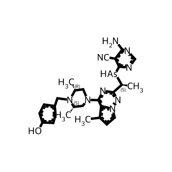 Cc1ccn2nc([C@H](C)[AsH]c3ncnc(N)c3C#N)nc(N3C[C@@H](C)N(Cc4ccc(O)cc4)[C@@H](C)C3)c12